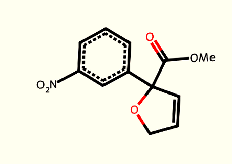 COC(=O)C1(c2cccc([N+](=O)[O-])c2)C=CCO1